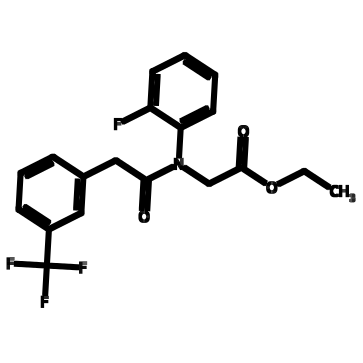 CCOC(=O)CN(C(=O)Cc1cccc(C(F)(F)F)c1)c1ccccc1F